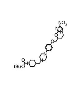 CC(C)(C)OC(=O)N1CCC(CN2CCN(c3ccc(OCC4CCn5cc([N+](=O)[O-])nc5O4)cc3)CC2)CC1